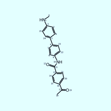 CNc1ccc(-c2ccc(NC(=O)c3ccc(C(C)=O)cc3)cc2)cc1